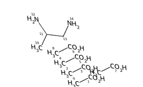 CC(=O)O.CC(=O)O.CC(=O)O.CC(=O)O.CC(=O)O.CC(N)CN